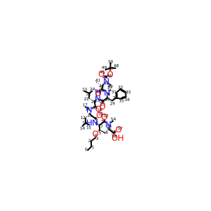 CCCCO[C@H](C)[C@H](NC(=O)[C@H](CC(C)C)N(C)C(=O)[C@H](CC(C)C)NC(=O)[C@H](Cc1ccccc1)N(C)C(=O)[C@H](C)N(C)C(=O)OC(C)(C)C)C(=O)N(C)CC(=O)O